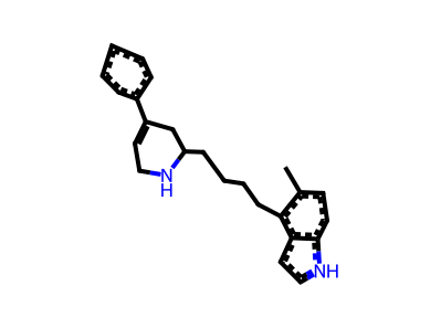 Cc1ccc2[nH]ccc2c1CCCCC1CC(c2ccccc2)=CCN1